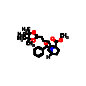 COC(=O)[C@]12CC[C@H](C[C@H]1CCCB1OC(C)(C)C(C)(C)O1)N2C(=O)c1ccccc1